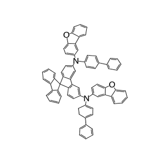 C1=C(c2ccccc2)CCC(N(c2ccc3c(c2)-c2cc(N(c4ccc(-c5ccccc5)cc4)c4ccc5oc6ccccc6c5c4)ccc2C32c3ccccc3-c3ccccc32)c2ccc3oc4ccccc4c3c2)=C1